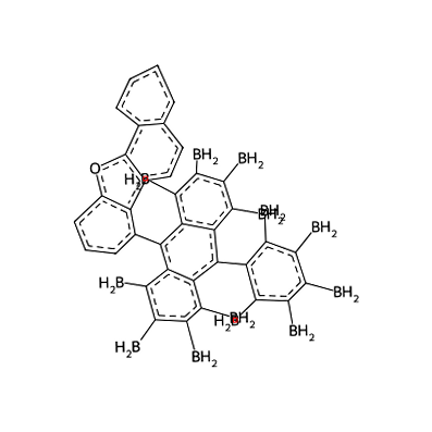 Bc1c(B)c(B)c(-c2c3c(B)c(B)c(B)c(B)c3c(-c3cccc4oc5c6ccccc6ccc5c34)c3c(B)c(B)c(B)c(B)c23)c(B)c1B